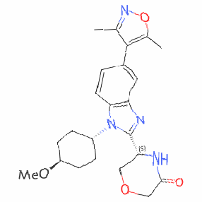 CO[C@H]1CC[C@H](n2c([C@H]3COCC(=O)N3)nc3cc(-c4c(C)noc4C)ccc32)CC1